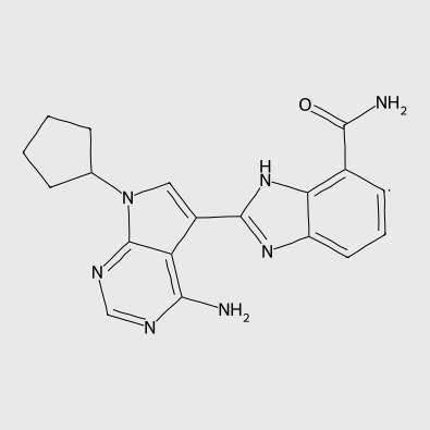 NC(=O)c1[c]ccc2nc(-c3cn(C4CCCC4)c4ncnc(N)c34)[nH]c12